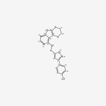 Clc1ccc(-c2cc(COc3ncnc4sc5c(c34)CCCC5)on2)cc1